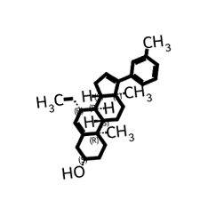 CC[C@H]1C=C2C[C@@H](O)CC[C@]2(C)[C@H]2CC[C@]3(C)C(c4cccc(C)c4)=CC[C@H]3[C@H]12